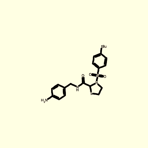 CC(C)(C)c1ccc(S(=O)(=O)N2CCSC2C(=O)NCc2ccc(N)cc2)cc1